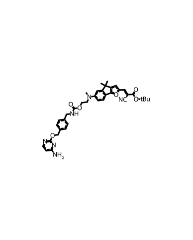 CN(CCOC(=O)NCc1ccc(COc2nccc(N)n2)cc1)c1ccc2c(c1)C(C)(C)c1cc(/C=C(\C#N)C(=O)OC(C)(C)C)oc1-2